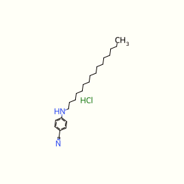 CCCCCCCCCCCCCCCCNc1ccc(C#N)cc1.Cl